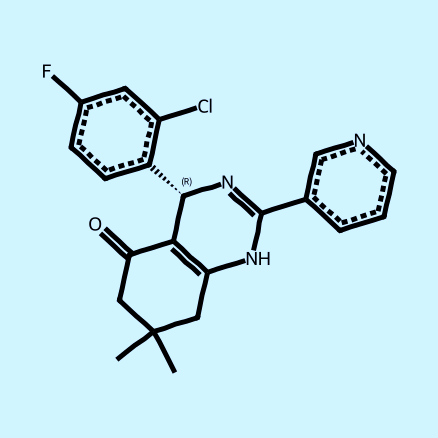 CC1(C)CC(=O)C2=C(C1)NC(c1cccnc1)=N[C@H]2c1ccc(F)cc1Cl